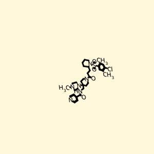 Cc1cc(S(=O)(=O)N2CCCCC2CCC(=O)N2CCC(CNC(=O)c3ccncc3)(N3CCN(C)CC3)CC2)c(C)cc1Cl